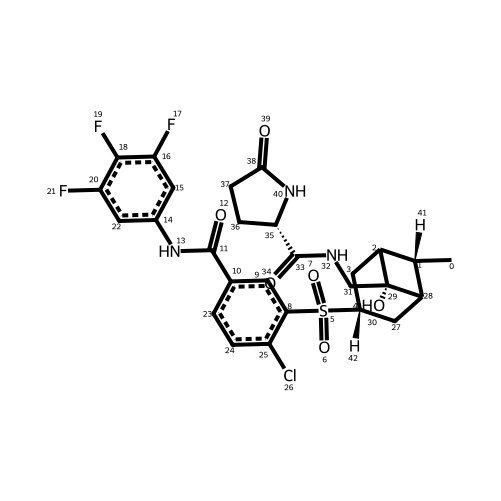 C[C@H]1C2C[C@@H](S(=O)(=O)c3cc(C(=O)Nc4cc(F)c(F)c(F)c4)ccc3Cl)CC1[C@@]2(O)CNC(=O)[C@@H]1CCC(=O)N1